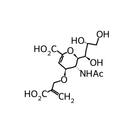 C=C(CO[C@H]1C=C(C(=O)O)O[C@@H]([C@H](O)[C@H](O)CO)[C@@H]1NC(C)=O)C(=O)O